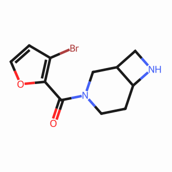 O=C(c1occc1Br)N1CCC2NCC2C1